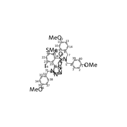 COc1ccc(CN(Cc2ccc(OC)cc2)S(=O)(=O)c2c(SC)ccc(I)c2-c2nnnn2Cc2ccc(OC)cc2)cc1